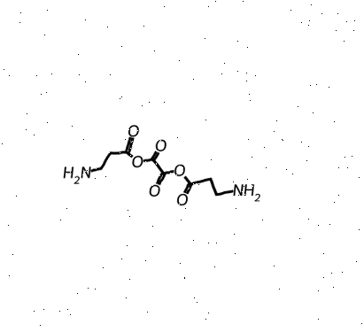 NCCC(=O)OC(=O)C(=O)OC(=O)CCN